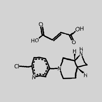 Clc1ccc(N2CC[C@H]3CN[C@H]3C2)cn1.O=C(O)C=CC(=O)O